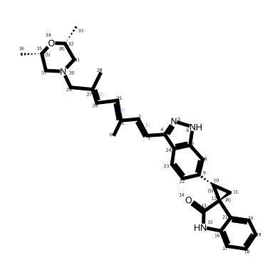 CC(/C=C/c1n[nH]c2cc([C@@H]3C[C@@]34C(=O)Nc3ccccc34)ccc12)=C\C=C(/C)CN1C[C@@H](C)O[C@@H](C)C1